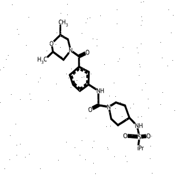 CC1CN(C(=O)c2cccc(NC(=O)N3CCC(NS(=O)(=O)C(C)C)CC3)c2)CC(C)O1